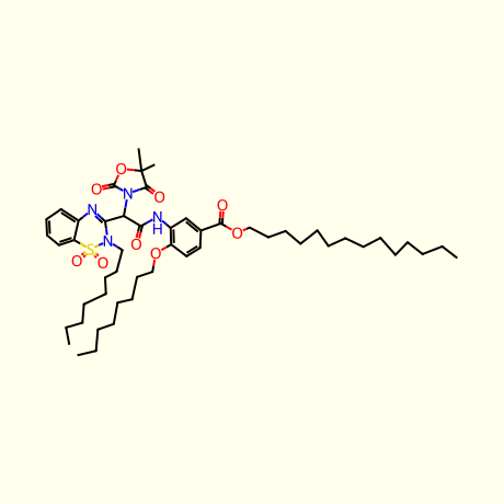 CCCCCCCCCCCCCCOC(=O)c1ccc(OCCCCCCCC)c(NC(=O)C(C2=Nc3ccccc3S(=O)(=O)N2CCCCCCCC)N2C(=O)OC(C)(C)C2=O)c1